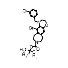 CC(C)(C)OC(=O)N1CCc2cc3c(c(Br)c2CC1)N(Cc1cccc(Cl)c1)CCO3